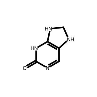 O=c1ncc2c([nH]1)NCN2